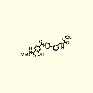 CONC(=O)c1ccc(C(=O)N2CCC(c3cccc(CNC(=O)OC(C)(C)C)c3)CC2)cc1O